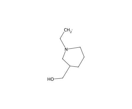 [CH2]CN1CCCC(CO)C1